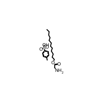 CCCCCCCCCCCCOC(=O)CN.Cc1ccc(S(=O)(=O)O)cc1